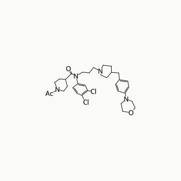 CC(=O)N1CCC(C(=O)N(CCCN2CCC(Cc3ccc(N4CCOCC4)cc3)CC2)c2ccc(Cl)c(Cl)c2)CC1